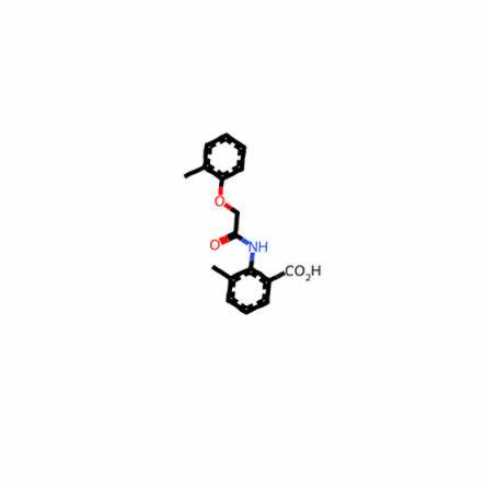 Cc1ccccc1OCC(=O)Nc1c(C)cccc1C(=O)O